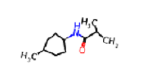 CC(C)C(=O)N[C@H]1CC[C@@H](C)CC1